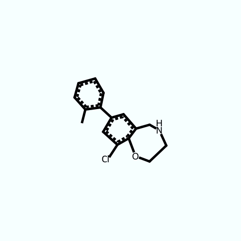 Cc1ccccc1-c1cc(Cl)c2c(c1)CNCCO2